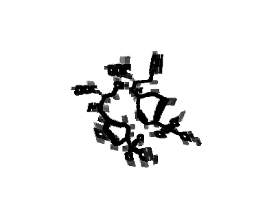 CS(=O)(=O)c1ccc(N[C@@H](CO)C(=O)[O-])cc1.CS(=O)(=O)c1ccc(N[C@@H](CO)C(=O)[O-])cc1.[Cu+2]